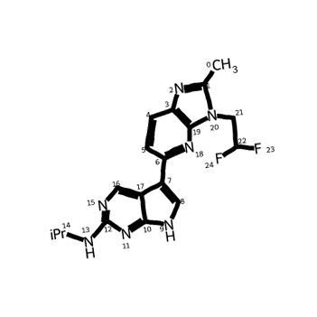 Cc1nc2ccc(-c3c[nH]c4nc(NC(C)C)ncc34)nc2n1CC(F)F